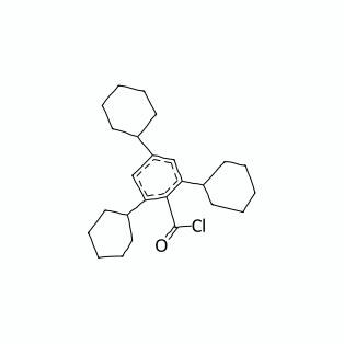 O=C(Cl)c1c(C2CCCCC2)cc(C2CCCCC2)cc1C1CCCCC1